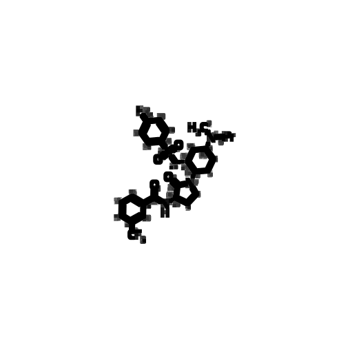 CC(C)N(C)[C@@H]1CC[C@H](N2CC[C@H](NC(=O)c3cccc(C(F)(F)F)c3)C2=O)[C@H](CS(=O)(=O)c2ccc(F)cc2)C1